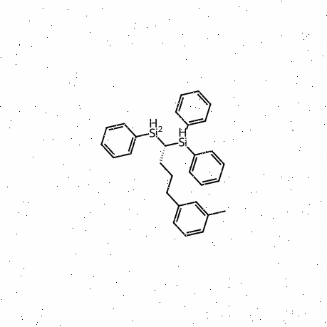 Cc1cccc(CCC[C@H]([SiH2]c2ccccc2)[SiH](c2ccccc2)c2ccccc2)c1